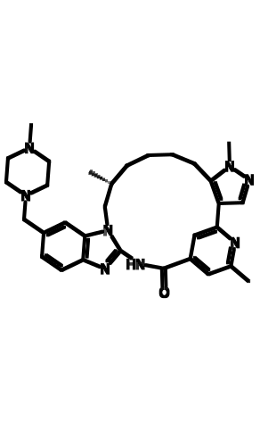 Cc1cc2cc(n1)-c1cnn(C)c1CCCC[C@@H](C)Cn1c(nc3ccc(CN4CCN(C)CC4)cc31)NC2=O